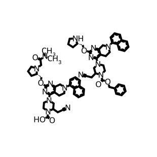 CN(C)C(=O)CN1CCC[C@H]1COc1nc2c(c(N3CCN(C(=O)O)C(CC#N)C3)n1)CCN(c1cccc3ccccc13)C2.N#CCC1CN(c2nc(OC[C@@H]3CCCN3)nc3c2CCN(c2cccc4ccccc24)C3)CCN1C(=O)OCc1ccccc1